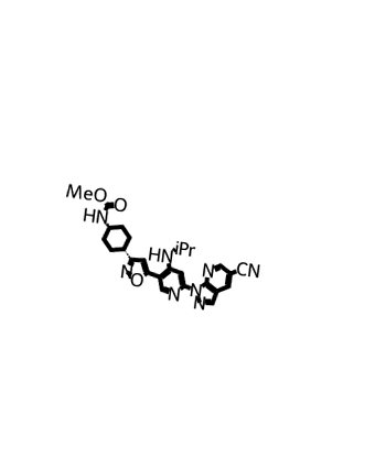 COC(=O)N[C@H]1CC[C@H](c2cc(-c3cnc(-n4ncc5cc(C#N)cnc54)cc3NC(C)C)on2)CC1